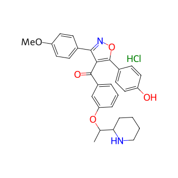 COc1ccc(-c2noc(-c3ccc(O)cc3)c2C(=O)c2cccc(OC(C)C3CCCCN3)c2)cc1.Cl